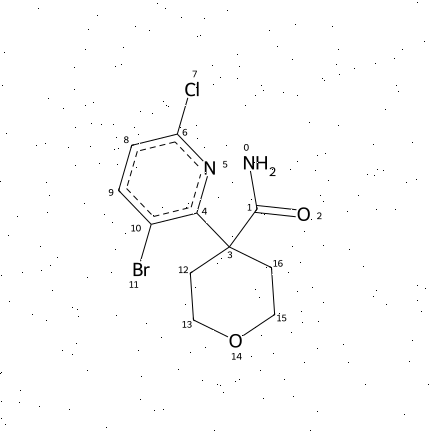 NC(=O)C1(c2nc(Cl)ccc2Br)CCOCC1